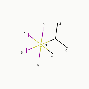 CC(C)S(C)(I)(I)(I)I